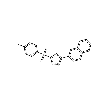 Cc1ccc(S(=O)(=O)c2nc(-c3ccc4ccccc4c3)ns2)cc1